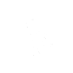 C=CCOc1c(OCC=C(C)C)c2ccc([N+](=O)[O-])cc2n(CC)c1=O